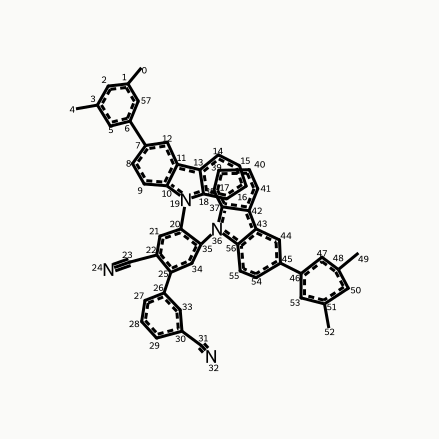 Cc1cc(C)cc(-c2ccc3c(c2)c2ccccc2n3-c2cc(C#N)c(-c3cccc(C#N)c3)cc2-n2c3ccccc3c3cc(-c4cc(C)cc(C)c4)ccc32)c1